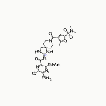 CNc1nc(N)c(Cl)nc1C(=O)/N=C1\NCC2(CCN(C(=O)c3cc(S(=O)(=O)N(C)C)oc3C)CC2)N1